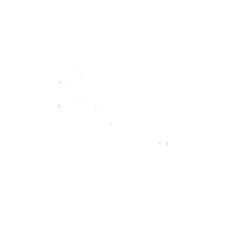 CCC[SiH2]OCCCOCCc1cccc2ccccc12